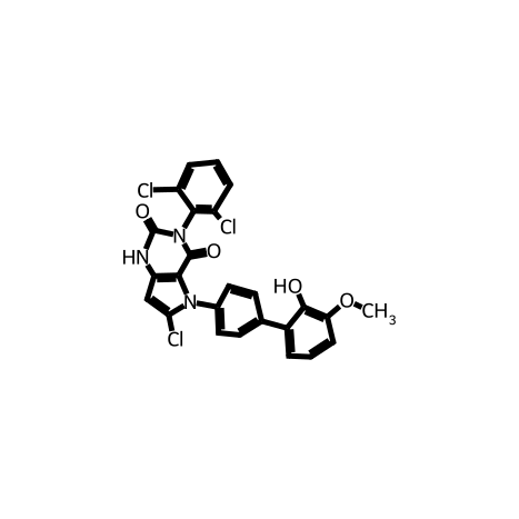 COc1cccc(-c2ccc(-n3c(Cl)cc4[nH]c(=O)n(-c5c(Cl)cccc5Cl)c(=O)c43)cc2)c1O